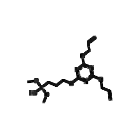 C=CCOc1nc(OCC=C)nc(OCCC[Si](O)(OC)OC)n1